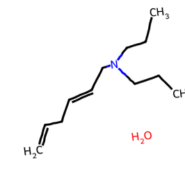 C=CCC=CCN(CCC)CCC.O